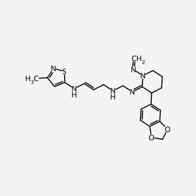 C=NN1CCCC(c2ccc3c(c2)OCO3)/C1=N/CNC/C=C/Nc1cc(C)ns1